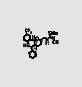 CS/C(=N/C#N)NC[C@H]1CC[C@@H]2[C@H](O1)c1cc(C(F)(F)F)ccc1N[C@H]2c1ccccc1